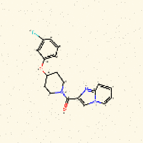 O=C(c1cn2ccccc2n1)N1CCC(Oc2cccc(F)c2)CC1